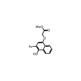 COC(=O)COc1cc(C(C)=O)c(O)c2ccccc12